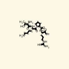 CC(C)C(=O)[C@H](CCCNC(=N)N)NC(=O)[C@@H]1CCCN1C(=O)[C@H](CCCCN)NC(=O)[C@@H](N)[C@@H](C)O